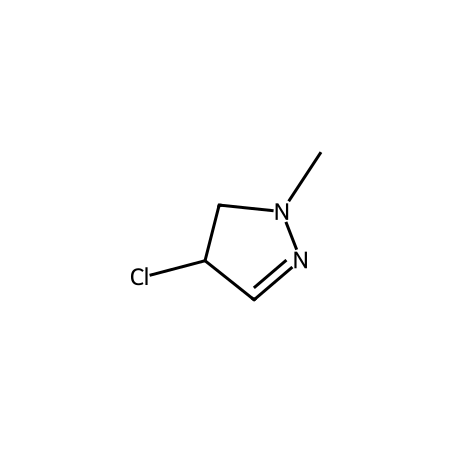 CN1CC(Cl)C=N1